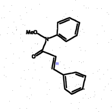 CON(C(=O)/C=C/c1cc[c]cc1)c1ccccc1